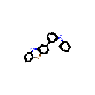 c1ccc(Nc2cccc(-c3ccc4c(c3)Nc3ccccc3S4)c2)cc1